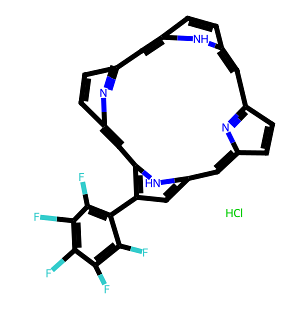 Cl.Fc1c(F)c(F)c(-c2cc3cc4nc(cc5ccc(cc6nc(cc2[nH]3)C=C6)[nH]5)C=C4)c(F)c1F